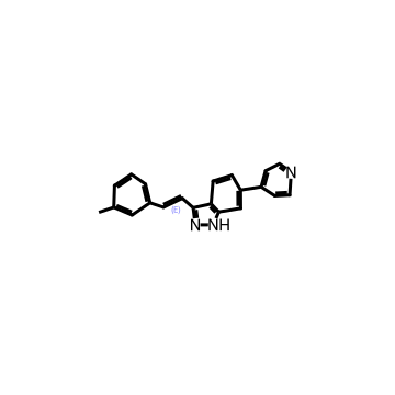 Cc1cccc(/C=C/c2n[nH]c3cc(-c4ccncc4)ccc23)c1